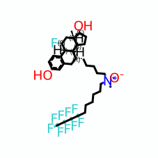 C[C@]12C[C@H](F)[C@@H]3c4ccc(O)cc4C[C@@H](CCCCC[N+](C)([O-])CCCCCCC(F)(F)C(F)(F)C(F)(F)C(F)(F)F)[C@H]3[C@@H]1CC[C@@H]2O